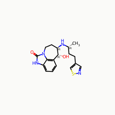 C[C@H](CCc1cnsc1)N[C@@H]1CCn2c(=O)[nH]c3cccc(c32)[C@H]1O